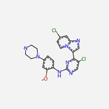 COc1cc(N2CC[N]CC2)ccc1Nc1ncc(Cl)c(-c2cnc3cc(Cl)ccn23)n1